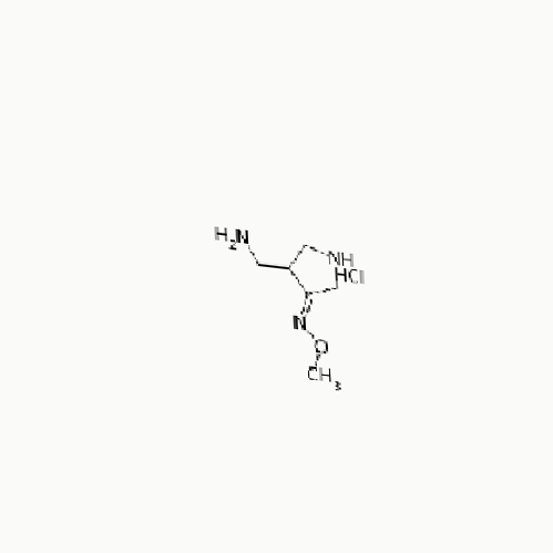 CON=C1CNCC1CN.Cl